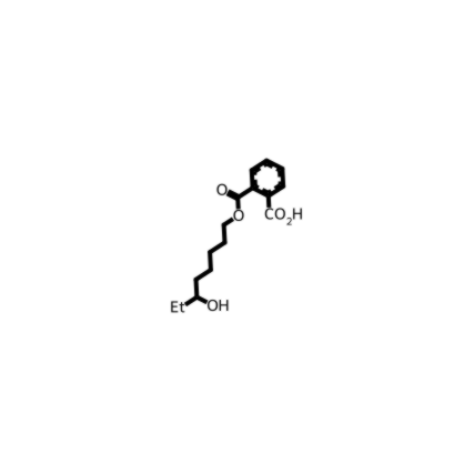 CCC(O)CCCCCOC(=O)c1ccccc1C(=O)O